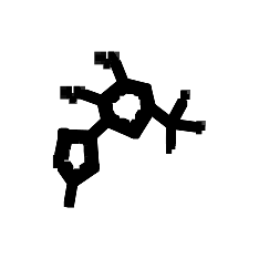 Cc1cc(-c2cc(C(F)(F)F)cc(N)c2N)on1